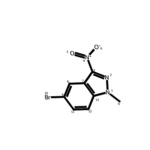 Cn1nc([N+](=O)[O-])c2cc(Br)ccc21